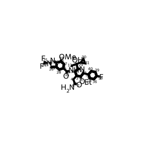 CCOc1c(CC(N)=O)cc([C@@](O)(CNC(=O)c2cc(OC)c3nn(C(F)F)cc3c2)C2CC2)nc1-c1ccc(F)cc1